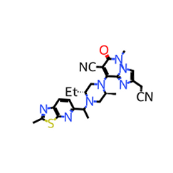 CC[C@@H]1CN(c2c(C#N)c(=O)n(C)n3cc(CC#N)nc23)[C@@H](C)CN1C(C)c1ccc2nc(C)sc2n1